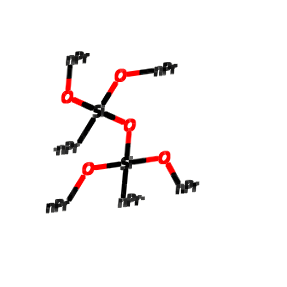 [CH2]C[CH][Si](OCCC)(OCCC)O[Si]([CH]C[CH2])(OCCC)OCCC